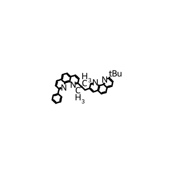 CC(C)(C)c1ccc2ccc3cc(CC(C)(C)c4ccc5ccc6ccc(-c7ccccc7)nc6c5n4)cnc3c2n1